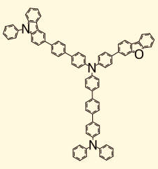 c1ccc(N(c2ccccc2)c2ccc(-c3ccc(-c4ccc(N(c5ccc(-c6ccc(-c7ccc8c(c7)c7ccccc7n8-c7ccccc7)cc6)cc5)c5ccc(-c6ccc7c(c6)oc6ccccc67)cc5)cc4)cc3)cc2)cc1